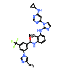 Cc1cn(-c2cc(C(=O)Nc3cccc(Nc4nccn4-c4cc(NC5CC5)ncn4)c3C)cc(C(F)(F)F)c2)cn1